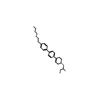 CCCCCCCc1ccc(-c2ccc(C3=CCC(CC(C)CC)CC3)cc2)cc1